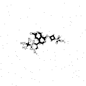 CC[C@@H](N[S+]([O-])C(C)(C)C)c1cnc(O[C@H]2C[C@@H](S(C)(=O)=O)C2)c2cnc(Cl)cc12